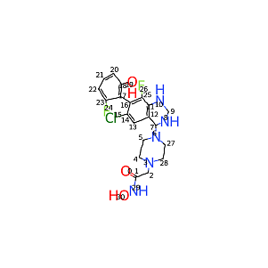 O=C(CN1CCN(C2NCNc3c2cc(Cl)c(-c2c(O)cccc2F)c3F)CC1)NO